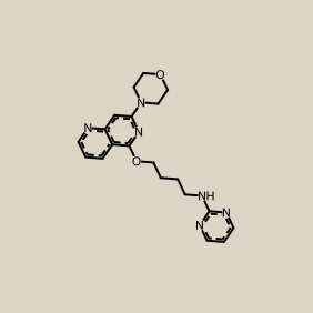 c1cnc(NCCCCOc2nc(N3CCOCC3)cc3ncccc23)nc1